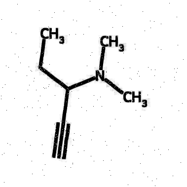 [C]#CC(CC)N(C)C